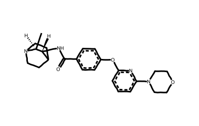 C[C@H]1[C@H](NC(=O)c2ccc(Oc3cccc(N4CCOCC4)n3)cc2)C2CCN1CC2